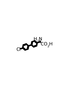 NC(C(=O)O)c1ccc(-c2ccc(Cl)cc2)cc1